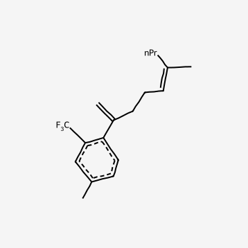 C=C(CC/C=C(/C)CCC)c1ccc(C)cc1C(F)(F)F